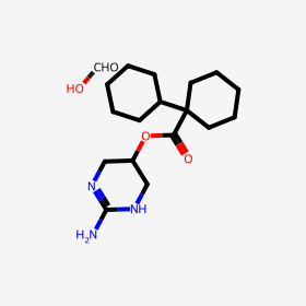 NC1=NCC(OC(=O)C2(C3CCCCC3)CCCCC2)CN1.O=CO